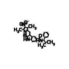 Cc1[nH]c(C=C2C(=O)Nc3ccc(C(=O)NC(c4ccccc4)C(C)C)cc32)c(C)c1[N+](=O)[O-]